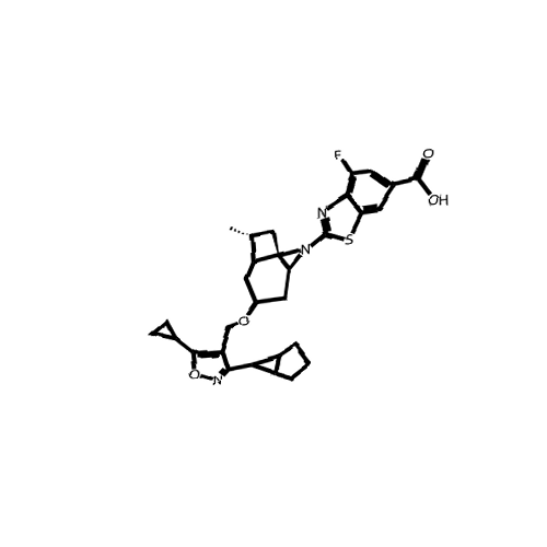 C[C@@H]1C[C@]23C1CC(OCc1c(C4C5CCCC54)noc1C1CC1)CC2N3c1nc2c(F)cc(C(=O)O)cc2s1